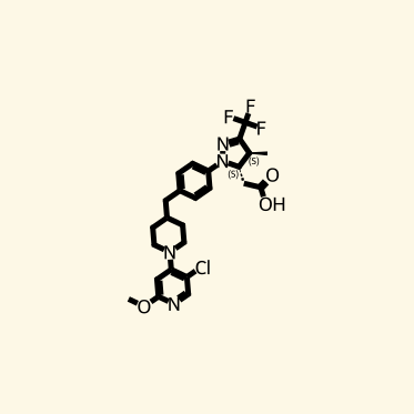 COc1cc(N2CCC(Cc3ccc(N4N=C(C(F)(F)F)[C@@H](C)[C@@H]4CC(=O)O)cc3)CC2)c(Cl)cn1